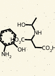 CC(O)NC(CC(=O)O)C(=O)O.Nc1ccccc1O